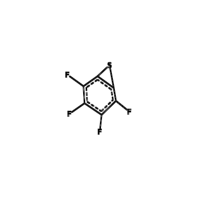 Fc1c(F)c(F)c2c(c1F)S2